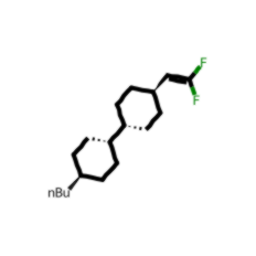 CCCC[C@H]1CC[C@H]([C@H]2CC[C@H](C=C(F)F)CC2)CC1